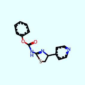 O=C(NC1=NC(c2ccncc2)CS1)Oc1ccccc1